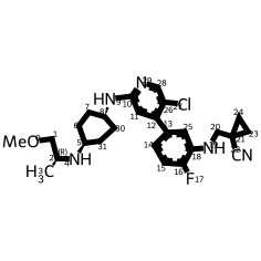 COC[C@@H](C)N[C@H]1CC[C@H](Nc2cc(-c3ccc(F)c(NCC4(C#N)CC4)c3)c(Cl)cn2)CC1